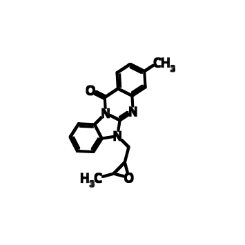 Cc1ccc2c(=O)n3c4ccccc4n(CC4OC4C)c3nc2c1